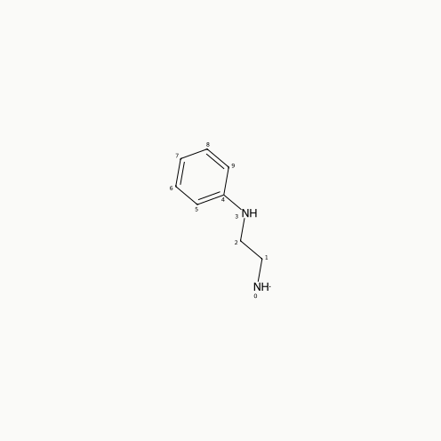 [NH]CCNc1ccccc1